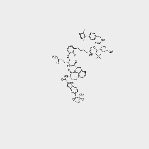 Cc1ncsc1-c1ccc([C@H](C)NC(=O)[C@@H]2C[C@@H](O)CN2C(=O)[C@@H](NC(=O)CCCCc2cccc(OC[C@H](CCC(N)=O)NC(=O)[C@@H]3Cc4cccc5c4N3C(=O)[C@@H](NC(=O)c3cc4cc(C(=O)P(=O)(O)O)ccc4[nH]3)CC5)c2F)C(C)(C)C)cc1